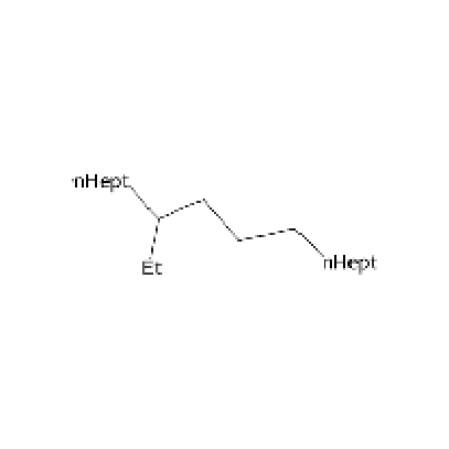 CCCCCC[CH]C(CC)CCCCCCCCCC